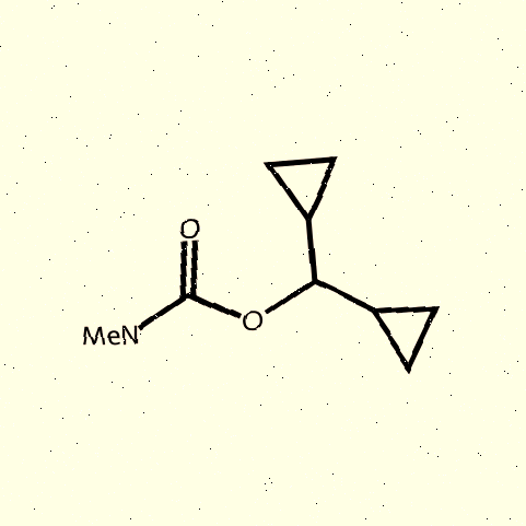 CNC(=O)OC(C1CC1)C1CC1